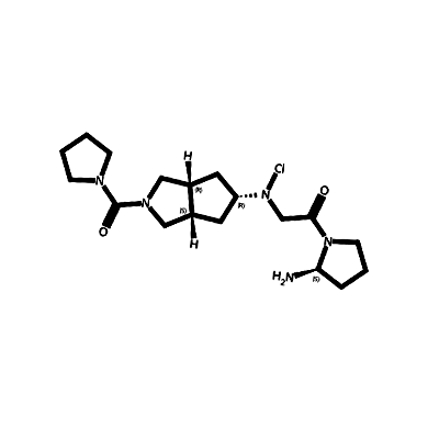 N[C@@H]1CCCN1C(=O)CN(Cl)[C@@H]1C[C@@H]2CN(C(=O)N3CCCC3)C[C@@H]2C1